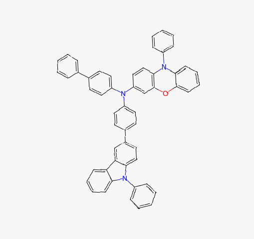 c1ccc(-c2ccc(N(c3ccc(-c4ccc5c(c4)c4ccccc4n5-c4ccccc4)cc3)c3ccc4c(c3)Oc3ccccc3N4c3ccccc3)cc2)cc1